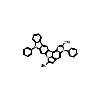 CC(C)(C)c1nc2c3c4cc5c6ccccc6n(-c6ccccc6)c5cc4n4c(C(C)(C)C)cc(cc2n1-c1ccccc1)c34